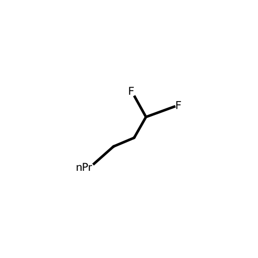 [CH2]CCCCC(F)F